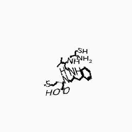 CSCC[C@H](NCC(Cc1ccccc1)NCC(NCC(N)CS)C(C)C)C(=O)O